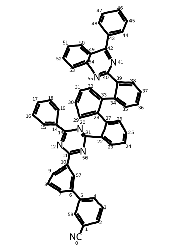 N#Cc1cccc(-c2cccc(-c3nc(-c4ccccc4)nc(-c4ccccc4-c4ccccc4-c4ccccc4-c4nc(-c5ccccc5)c5ccccc5n4)n3)c2)c1